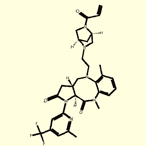 C=CC(=O)N1C[C@H]2C[C@@H]1CN2CCN1C[C@H]2CC(=O)N(c3cc(C(F)(F)F)cc(C)n3)[C@@H]2C(=O)N(C)c2cccc(C)c21